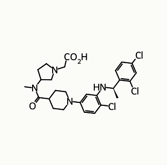 C[C@@H](Nc1cc(N2CCC(C(=O)N(C)C3CCN(CC(=O)O)C3)CC2)ccc1Cl)c1ccc(Cl)cc1Cl